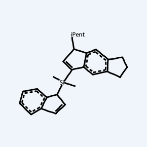 CCCC(C)C1C=C([Si](C)(C)C2C=Cc3ccccc32)c2cc3c(cc21)CCC3